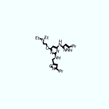 CCN(CC)CCOc1cc(Nc2cc(C(C)C)[nH]n2)nc(NCc2cc(C(C)C)no2)n1